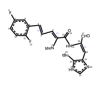 CN/C(=C\C=C\c1cc(F)ccc1F)C(=O)N/C(C=O)=C\c1nc[nH]c1C(C)(C)C